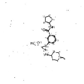 CN1CCC(N[C@@H]2C[C@H]2c2cccc(C(=O)NC3CCCC3)c2)CC1.Cl.Cl